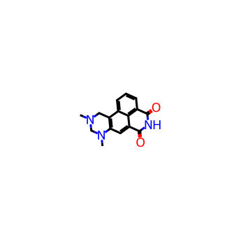 CN1Cc2c(cc3c4c(cccc24)C(=O)NC3=O)N(C)C1